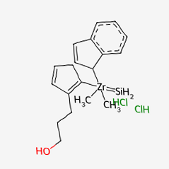 Cl.Cl.[CH3][Zr]([CH3])(=[SiH2])([C]1=C(CCCO)C=CC1)[CH]1C=Cc2ccccc21